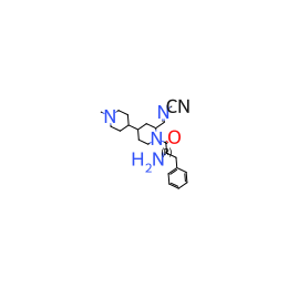 CN1CCC(C2CCN(C(=O)[C@H](N)Cc3ccccc3)C(C=NC#N)C2)CC1